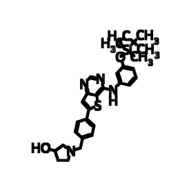 CC(C)(C)[Si](C)(C)Oc1cccc(Nc2ncnc3cc(-c4ccc(CN5CCC(O)C5)cc4)sc23)c1